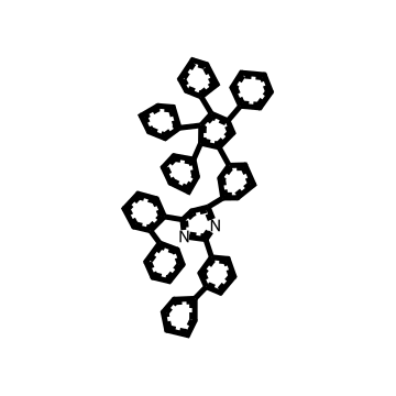 c1ccc(-c2cccc(-c3nc(-c4cccc(-c5cc(-c6ccccc6)c(-c6ccccc6)c(-c6ccccc6)c5-c5ccccc5)c4)cc(-c4ccccc4-c4ccccc4)n3)c2)cc1